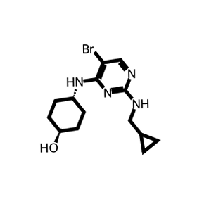 O[C@H]1CC[C@H](Nc2nc(NCC3CC3)ncc2Br)CC1